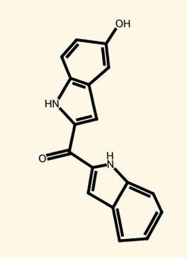 O=C(c1cc2ccccc2[nH]1)c1cc2cc(O)ccc2[nH]1